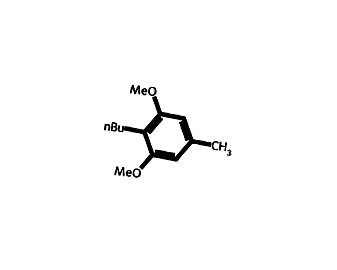 CCCCc1c(OC)cc(C)cc1OC